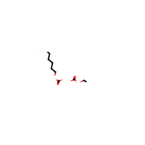 CCCCCCOC(=O)OOC(=O)OCC